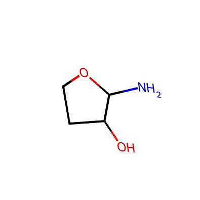 NC1OCCC1O